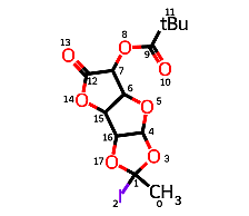 CC1(I)OC2OC3C(OC(=O)C(C)(C)C)C(=O)OC3C2O1